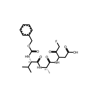 CC(C)[C@H](NC(=O)OCc1ccccc1)C(=O)N[C@@H](C)C(=O)NC(CC(=O)O)C(=O)CF